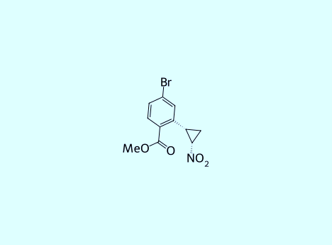 COC(=O)c1ccc(Br)cc1[C@@H]1C[C@@H]1[N+](=O)[O-]